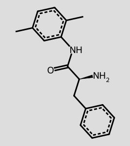 Cc1ccc(C)c(NC(=O)[C@@H](N)Cc2ccccc2)c1